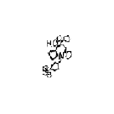 COC(=O)C1=C(O)c2ccccc2N(Cc2ccc(S(C)(=O)=O)cc2)C(=O)C1